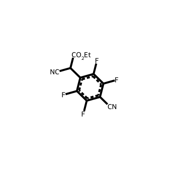 CCOC(=O)C(C#N)c1c(F)c(F)c(C#N)c(F)c1F